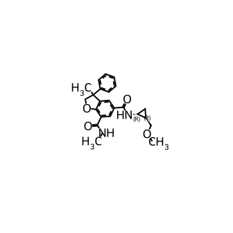 CNC(=O)c1cc(C(=O)N[C@@H]2C[C@H]2COC)cc2c1OCC2(C)c1ccccc1